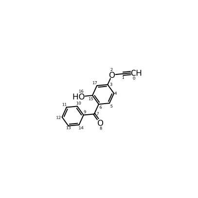 C#COc1ccc(C(=O)c2ccccc2)c(O)c1